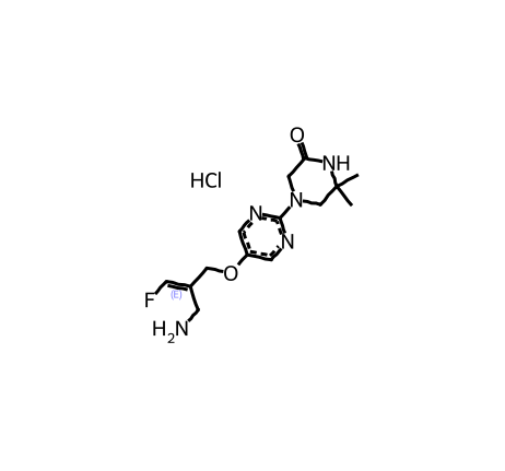 CC1(C)CN(c2ncc(OC/C(=C/F)CN)cn2)CC(=O)N1.Cl